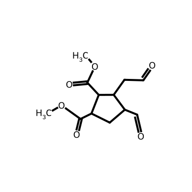 COC(=O)C1CC(C=O)C(CC=O)C1C(=O)OC